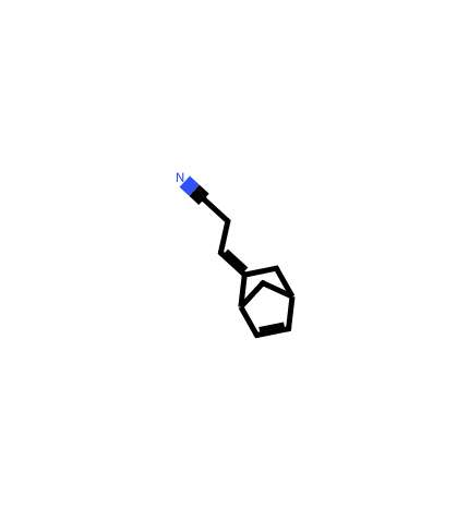 N#CCC=C1CC2C=CC1C2